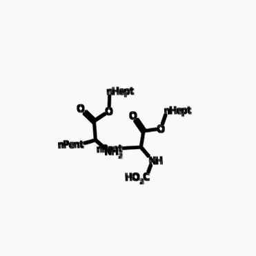 CCCCCCCOC(=O)C(CCCCC)NC(=O)O.CCCCCCCOC(=O)C(N)CCCCC